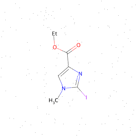 CCOC(=O)c1cn(C)c(I)n1